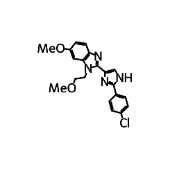 COCCn1c(-c2c[nH]c(-c3ccc(Cl)cc3)n2)nc2ccc(OC)cc21